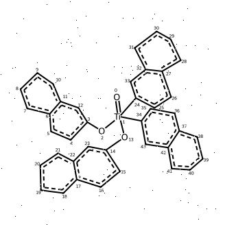 [O]=[Ti]([O]c1ccc2ccccc2c1)([O]c1ccc2ccccc2c1)([c]1ccc2ccccc2c1)[c]1ccc2ccccc2c1